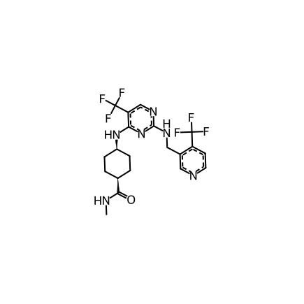 CNC(=O)[C@H]1CC[C@@H](Nc2nc(NCc3cnccc3C(F)(F)F)ncc2C(F)(F)F)CC1